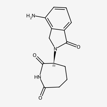 Nc1cccc2c1CN([C@H]1CCCC(=O)NC1=O)C2=O